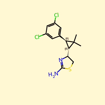 CC1(C)[C@H](c2cc(Cl)cc(Cl)c2)[C@H]1C1CSC(N)=N1